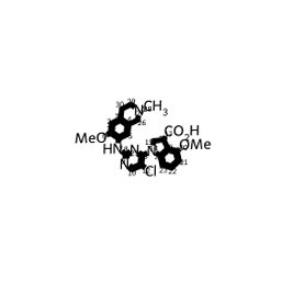 COc1cc2c(cc1Nc1ncc(Cl)c(N3CC(C(=O)O)c4c(OC)cccc43)n1)CN(C)CC2